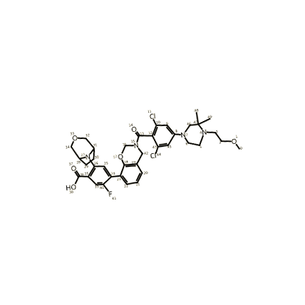 COCCN1CCN(c2cc(Cl)c(C(=O)N3COc4c(cccc4-c4cc(N5C6CCC5COC6)c(C(=O)O)cc4F)C3)c(Cl)c2)CC1(C)C